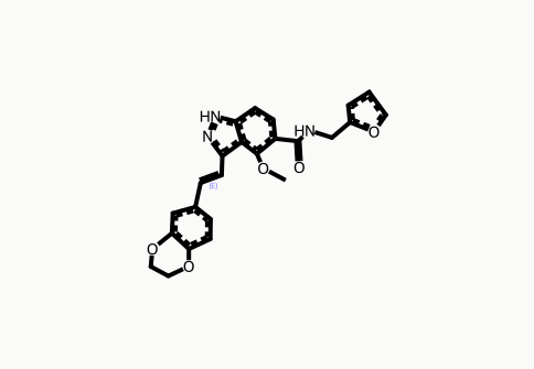 COc1c(C(=O)NCc2ccco2)ccc2[nH]nc(/C=C/c3ccc4c(c3)OCCO4)c12